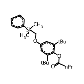 CCCC(=O)Oc1c(C(C)(C)C)cc(OC[Si](C)(C)c2ccccc2)cc1C(C)(C)C